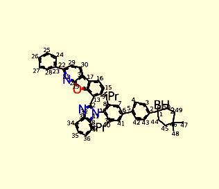 BC1(c2ccc(-c3cc(C(C)C)c(-n4c(-c5cccc6c5oc5nc(-c7ccccc7)ccc56)nc5ccccc54)c(C(C)C)c3)cc2)CCC(C)(C)CC1